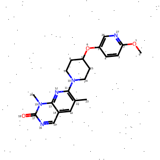 COc1ccc(OC2CCN(c3nc4c(cnc(=O)n4C)cc3C)CC2)cn1